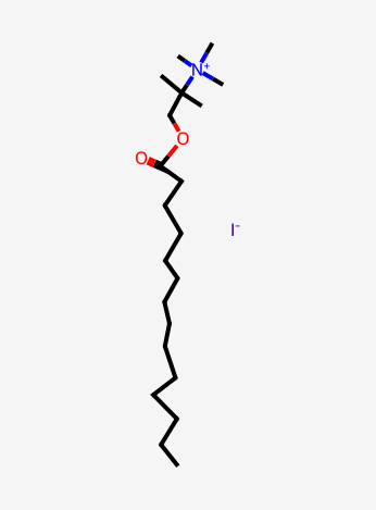 CCCCCCCCCCCCCC(=O)OCC(C)(C)[N+](C)(C)C.[I-]